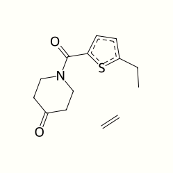 C=C.CCc1ccc(C(=O)N2CCC(=O)CC2)s1